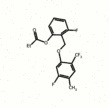 CCC(=O)Oc1cccc(F)c1COc1cc(F)c(C)cc1C(F)(F)F